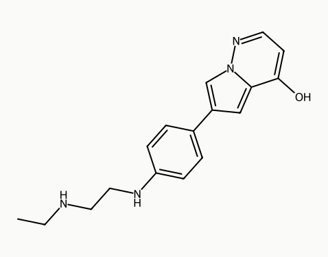 CCNCCNc1ccc(-c2cc3c(O)ccnn3c2)cc1